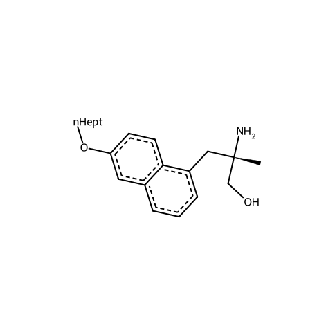 CCCCCCCOc1ccc2c(C[C@](C)(N)CO)cccc2c1